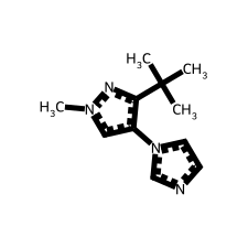 Cn1cc(-n2ccnc2)c(C(C)(C)C)n1